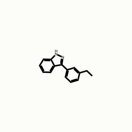 CCc1cccc(-c2n[nH]c3ccccc23)c1